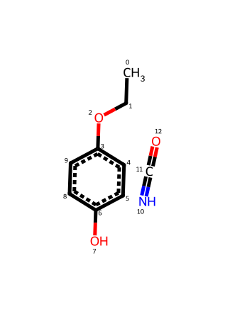 CCOc1ccc(O)cc1.N=C=O